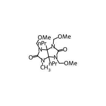 CCCC12N(C)C(=O)N(COC)C1(CCC)N(COC)C(=O)N2COC